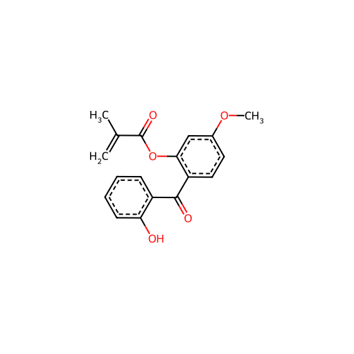 C=C(C)C(=O)Oc1cc(OC)ccc1C(=O)c1ccccc1O